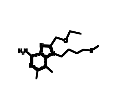 CCOCc1nc2c(N)nc(C)c(C)c2n1CCCCSC